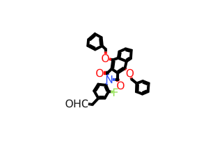 O=CCc1ccc(N2C(=O)c3c(c(OCc4ccccc4)c4ccccc4c3OCc3ccccc3)C2=O)c(F)c1